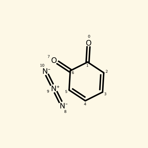 O=C1C=CC=CC1=O.[N-]=[N+]=[N-]